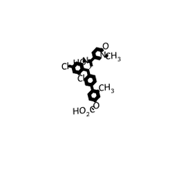 Cc1cc(OC(=O)O)ccc1-c1ccc([C@@H](C/C(=N\O)c2ccc(=O)n(C)c2)c2ccc(Cl)cc2Cl)cc1